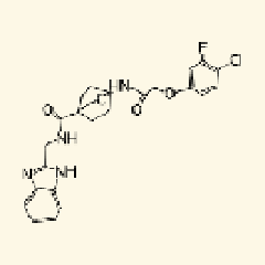 O=C(COc1ccc(Cl)c(F)c1)NC12CCC(C(=O)NCc3nc4ccccc4[nH]3)(CC1)CC2